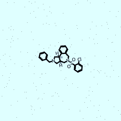 O=S(=O)(c1ccccc1Cl)N1Cc2ccccc2[C@H]2CN(Cc3ccccc3)C[C@@H]2C1